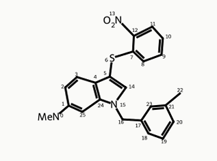 CNc1ccc2c(Sc3ccccc3[N+](=O)[O-])cn(Cc3cccc(C)c3)c2c1